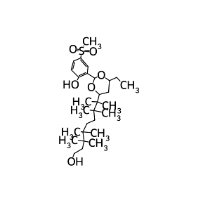 CCC1CC(C(C)(C)C(C)(C)CCC(C)(C)C(C)(C)CCO)OC(c2cc(S(C)(=O)=O)ccc2O)O1